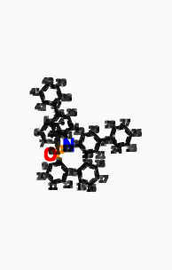 O=P1(c2ccccc2)c2ccccc2-c2ccccc2-c2cc(-c3ccccc3)ccc2N1c1ccc(-c2ccccc2)cc1